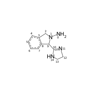 NN1Cc2ccccc2C1C1=NCCN1